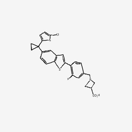 O=C(O)C1CN(Cc2ccc(-c3cc4cc(C5(c6ccc(Cl)s6)CC5)ccc4s3)c(F)c2)C1